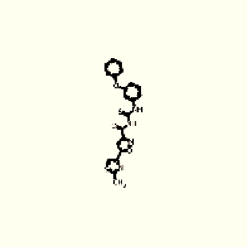 Cc1nc(-c2cc(C(=O)NC(=S)Nc3cccc(Oc4ccccc4)c3)no2)cs1